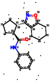 O=C(Nc1ccccc1)[C@H]1CCC[C@@H]1c1noc2c1CCCC2